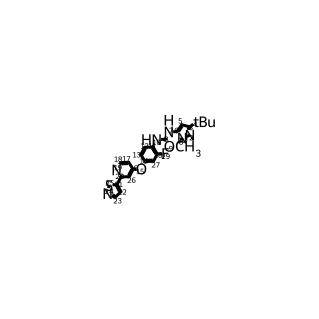 Cn1nc(C(C)(C)C)cc1NC(=O)Nc1ccc(Oc2ccnc(-c3ccns3)c2)cc1F